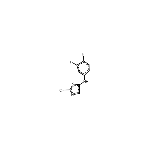 Fc1ccc(Nc2cnc(Cl)s2)cc1F